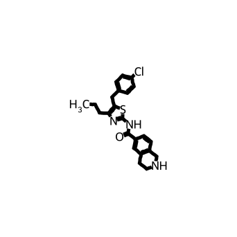 CCCc1nc(NC(=O)c2ccc3c(c2)CCNC3)sc1Cc1ccc(Cl)cc1